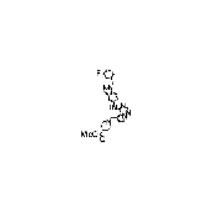 COC(=O)C1CCN(Cc2ccn3ncnc(Nc4ccc5c(cnn5Cc5cccc(F)c5)c4)c23)CC1